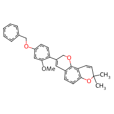 COc1cc(OCc2ccccc2)ccc1C1=Cc2ccc3c(c2OC1)C=CC(C)(C)O3